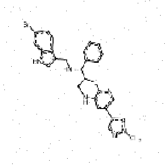 Cn1cc(-c2cnc3c(c2)NC[C@@H]([C@H](NCc2c[nH]c4cc(Br)ccc24)c2ccccc2)O3)cn1